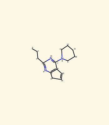 CCCc1nc2c(c(N3CCCCC3)n1)C=CC2